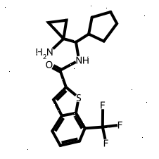 NC1(C(NC(=O)c2cc3cccc(C(F)(F)F)c3s2)C2CCCC2)CC1